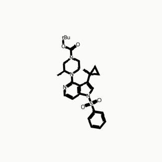 CC1CN(C(=O)OC(C)(C)C)CCN1c1nccc2c1c(C1(C)CC1)cn2S(=O)(=O)c1ccccc1